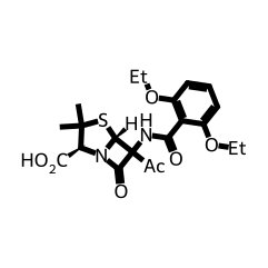 CCOc1cccc(OCC)c1C(=O)NC1(C(C)=O)C(=O)N2[C@@H](C(=O)O)C(C)(C)S[C@@H]21